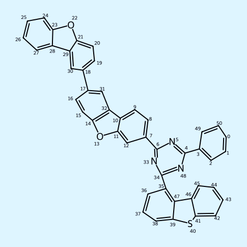 c1ccc(-c2nc(-c3ccc4c(c3)oc3ccc(-c5ccc6oc7ccccc7c6c5)cc34)nc(-c3cccc4sc5ccccc5c34)n2)cc1